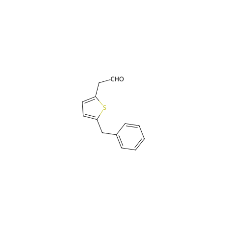 O=CCc1ccc(Cc2ccccc2)s1